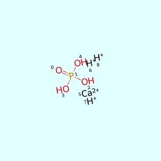 O=P(O)(O)O.[Ca+2].[H+].[H+].[H+]